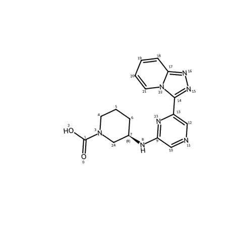 O=C(O)N1CCC[C@@H](Nc2cncc(-c3nnc4ccccn34)n2)C1